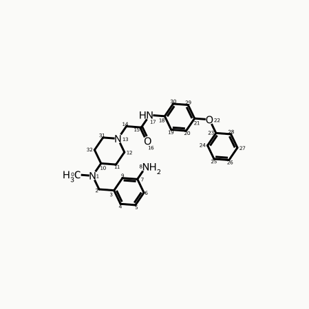 CN(Cc1cccc(N)c1)C1CCN(CC(=O)Nc2ccc(Oc3ccccc3)cc2)CC1